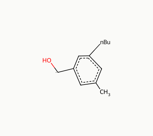 CCCCc1cc(C)cc([CH]O)c1